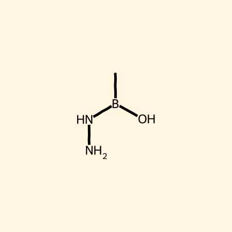 CB(O)NN